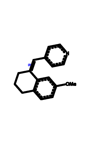 COc1ccc2c(c1)/C(=C\c1ccncc1)CCC2